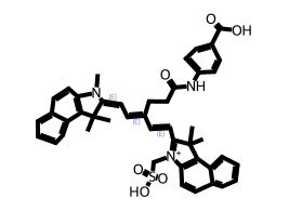 CN1/C(=C/C=C(/C=C/C2=[N+](CS(=O)(=O)O)c3ccc4ccccc4c3C2(C)C)CCC(=O)Nc2ccc(C(=O)O)cc2)C(C)(C)c2c1ccc1ccccc21